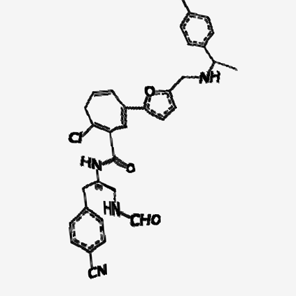 Cc1ccc(C(C)NCc2ccc(C3=CC(C(=O)N[C@@H](CNC=O)Cc4ccc(C#N)cc4)=C(Cl)CC=C3)o2)cc1